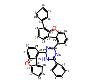 c1ccc(C2=NC(c3cccc4oc5c(-c6ccccc6)cccc5c34)=NC(c3cccc4oc5ccccc5c34)N2)cc1